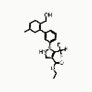 CCOC(=O)C1=C(C(F)(F)F)N(c2cccc(C3=C(CO)CCC(C)C3)c2)NC1